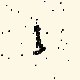 O=C(c1ccc(-c2ccc(OCC3CCN(CC4(C(F)(F)F)CCC4)CC3)cc2F)c(F)c1)N1CCC(O)C1